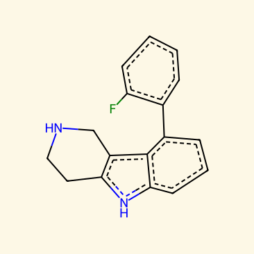 Fc1ccccc1-c1cccc2[nH]c3c(c12)CNCC3